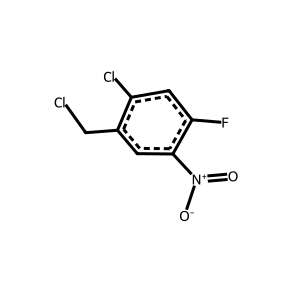 O=[N+]([O-])c1cc(CCl)c(Cl)cc1F